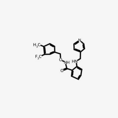 Cc1ccc(CONC(=O)c2ccccc2NCc2ccncc2)cc1C(F)(F)F